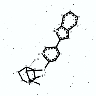 C[C@H]1[C@H](Oc2ccc(-c3cc4ccccc4[nH]3)cn2)C2CCN1CC2